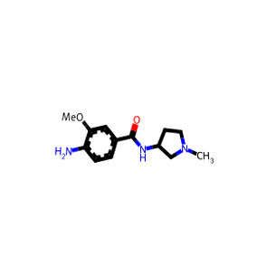 COc1cc(C(=O)NC2CCN(C)C2)ccc1N